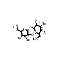 OCC1O[C@H](O[C@H]2OC(CO)[C@@H](O)[C@@H](O)C2O)C(O)[C@@H](O)[C@@H]1O